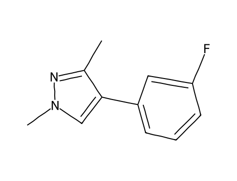 Cc1nn(C)cc1-c1cccc(F)c1